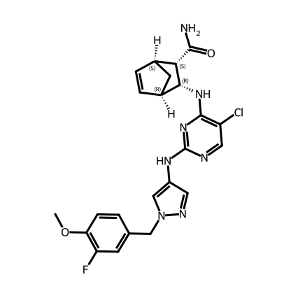 COc1ccc(Cn2cc(Nc3ncc(Cl)c(N[C@H]4[C@@H](C(N)=O)[C@@H]5C=C[C@H]4C5)n3)cn2)cc1F